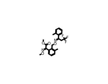 CO/N=C(/C(=O)OC)c1cccc(C)c1CO/N=C(\CC(F)(F)F)c1ccccc1C